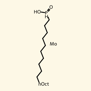 CCCCCCCCCCCCCCCCCC[PH](=O)O.[Mo]